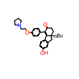 CCCCC12CCC(=O)C(c3ccc(OCCN4CCCC4)cc3)=C1c1ccc(O)cc1C2